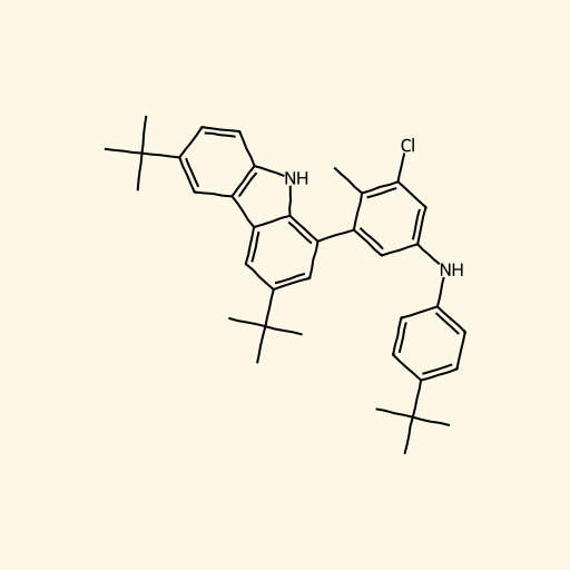 Cc1c(Cl)cc(Nc2ccc(C(C)(C)C)cc2)cc1-c1cc(C(C)(C)C)cc2c1[nH]c1ccc(C(C)(C)C)cc12